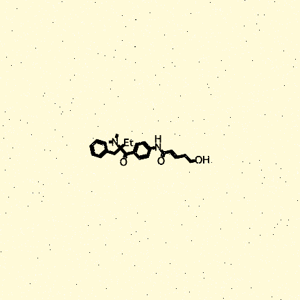 CCC(Cc1ccccc1)(C(=O)c1ccc(NC(=O)C=CCCO)cc1)N(C)C